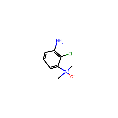 C[N+](C)([O-])c1cccc(N)c1Cl